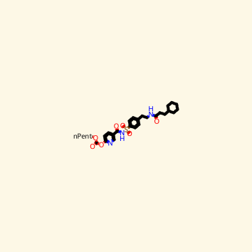 CCCCCOC(=O)Oc1ccc(C(=O)NS(=O)(=O)c2ccc(CCNC(=O)CCC3CCCCC3)cc2)cn1